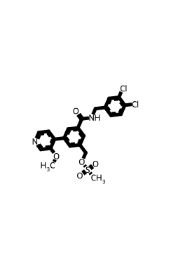 COc1cnccc1-c1cc(COS(C)(=O)=O)cc(C(=O)NCc2ccc(Cl)c(Cl)c2)c1